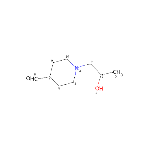 CC(O)CN1CCC(C=O)CC1